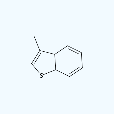 CC1=CSC2C=CC=CC12